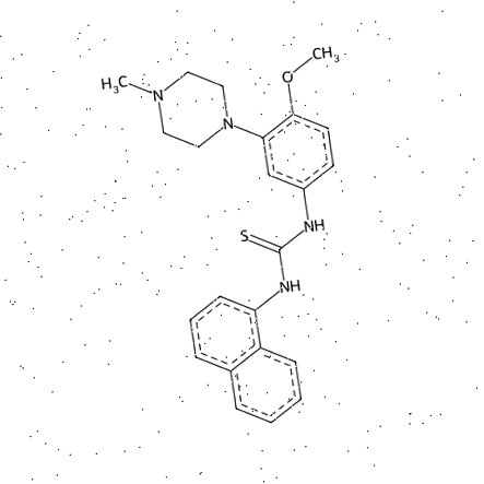 COc1ccc(NC(=S)Nc2cccc3ccccc23)cc1N1CCN(C)CC1